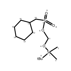 CC(C)(C)[Si](C)(C)OCOS(=O)(=O)CC1CCCCC1